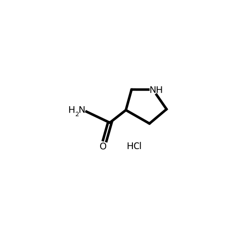 Cl.NC(=O)C1CCNC1